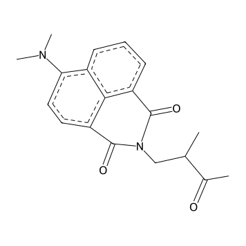 CC(=O)C(C)CN1C(=O)c2cccc3c(N(C)C)ccc(c23)C1=O